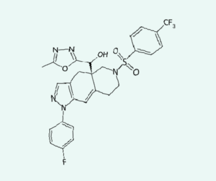 Cc1nnc(C(O)[C@]23Cc4cnn(-c5ccc(F)cc5)c4C=C2CCN(S(=O)(=O)c2ccc(C(F)(F)F)cc2)C3)o1